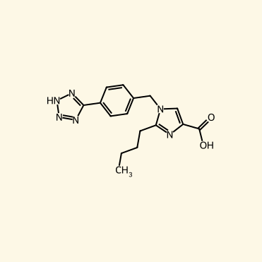 CCCCc1nc(C(=O)O)cn1Cc1ccc(-c2nn[nH]n2)cc1